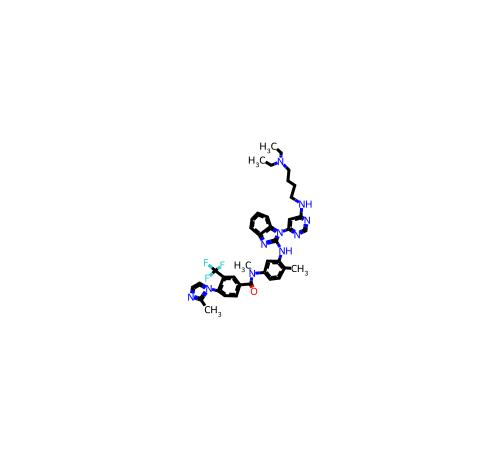 CCN(CC)CCCCNc1cc(-n2c(Nc3cc(N(C)C(=O)c4ccc(-n5ccnc5C)c(C(F)(F)F)c4)ccc3C)nc3ccccc32)ncn1